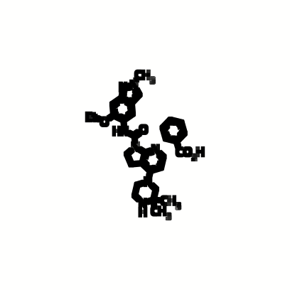 CCOc1cc2nn(C)cc2cc1NC(=O)N1CCc2c(N3CCNC(C)(C)C3)ccnc21.O=C(O)c1ccccc1